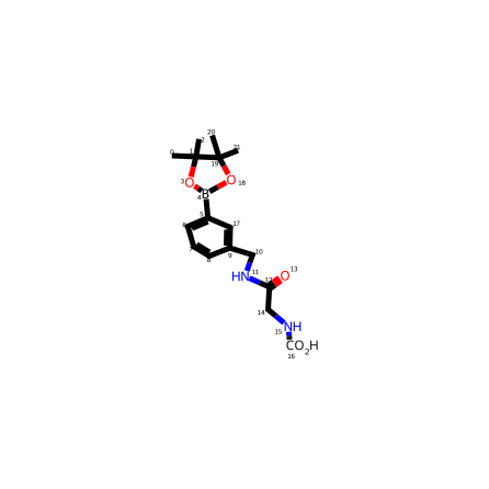 CC1(C)OB(c2cccc(CNC(=O)CNC(=O)O)c2)OC1(C)C